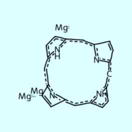 C1=Cc2cc3ccc(cc4nc(cc5ccc(cc1n2)[nH]5)C=C4)[nH]3.[Mg].[Mg].[Mg]